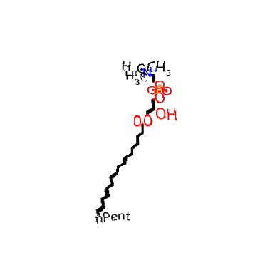 CCCCC/C=C/C/C=C/C/C=C/C/C=C/CCCCCC(=O)OC[C@@H](O)COP(=O)([O-])OCC[N+](C)(C)C